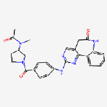 CC(=O)N(C)C1CCN(C(=O)c2ccc(Nc3ncc4c(n3)-c3ccccc3NC(=O)C4)cc2)C1